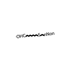 CCCCCCCCCCCCSCCCCCCCCC[C]=O